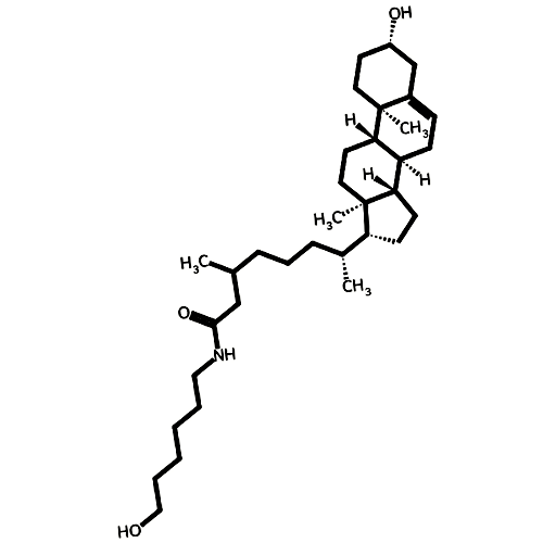 CC(CCC[C@@H](C)[C@H]1CC[C@H]2[C@@H]3CC=C4C[C@@H](O)CC[C@]4(C)[C@H]3CC[C@]12C)CC(=O)NCCCCCCO